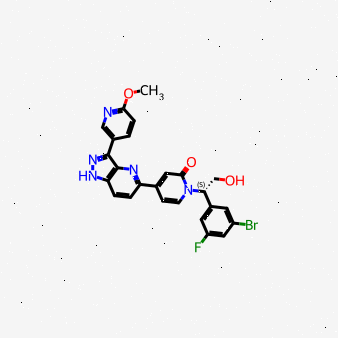 COc1ccc(-c2n[nH]c3ccc(-c4ccn([C@H](CO)c5cc(F)cc(Br)c5)c(=O)c4)nc23)cn1